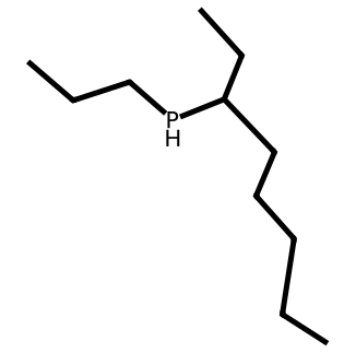 CCCCCC(CC)PCCC